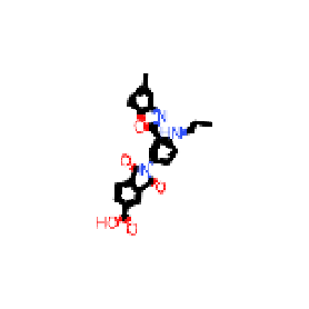 CCCNc1ccc(N2C(=O)c3ccc(C(=O)O)cc3C2=O)cc1-c1nc2cc(C)ccc2o1